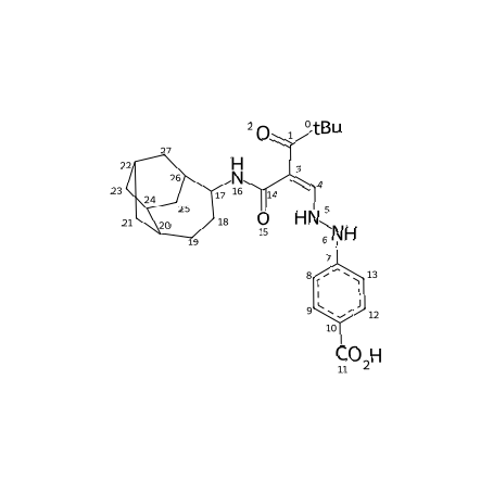 CC(C)(C)C(=O)/C(=C/NNc1ccc(C(=O)O)cc1)C(=O)NC1CCC2CC3CC2CC1C3